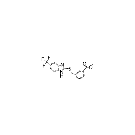 COC(=O)c1cccc(CSc2nc3cc(C(F)(F)F)ccc3[nH]2)c1